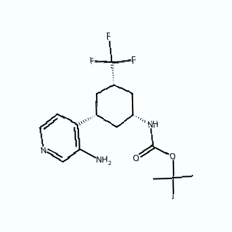 CC(C)(C)OC(=O)N[C@@H]1C[C@H](c2ccncc2N)C[C@H](C(F)(F)F)C1